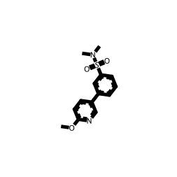 COc1ccc(-c2cccc(S(=O)(=O)N(C)C)c2)cn1